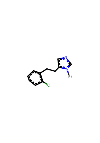 CCn1cncc1CCc1ccccc1Cl